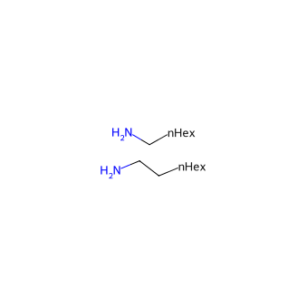 CCCCCCCCN.CCCCCCCN